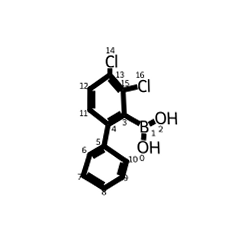 OB(O)c1c(-c2ccccc2)ccc(Cl)c1Cl